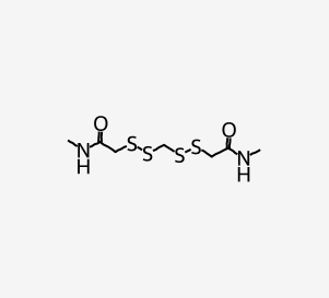 CNC(=O)CSSCSSCC(=O)NC